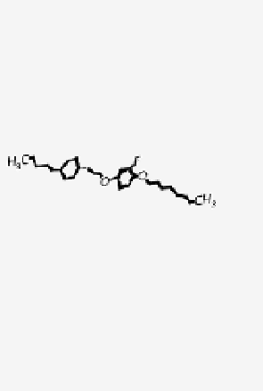 CCCCCCCCOc1ccc(OCCC[C@H]2CC[C@H](CCCCC)CC2)cc1F